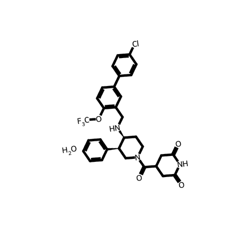 O.O=C1CC(C(=O)N2CC[C@H](NCc3cc(-c4ccc(Cl)cc4)ccc3OC(F)(F)F)[C@H](c3ccccc3)C2)CC(=O)N1